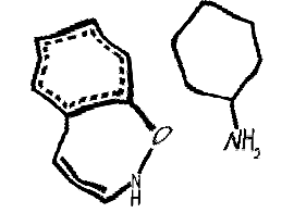 C1=Cc2ccccc2ON1.NC1CCCCC1